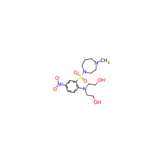 CN1CCCN(S(=O)(=O)c2cc([N+](=O)[O-])ccc2N(CCO)CCO)CC1